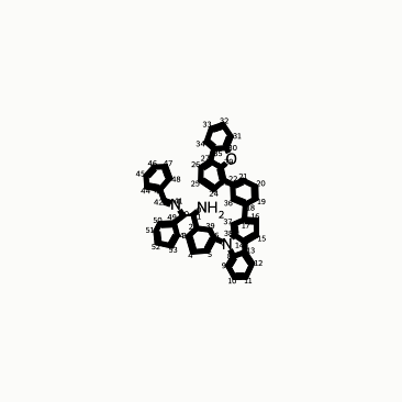 NC(C1C=CC=C(n2c3ccccc3c3ccc(-c4cccc(-c5cccc6c5oc5ccccc56)c4)cc32)C1)[C@H](/N=C/c1ccccc1)c1ccccc1